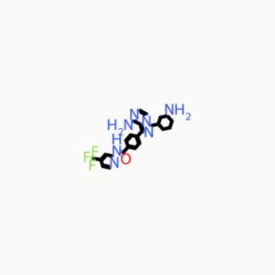 Nc1nccn2c(C3CCCC(N)C3)nc(-c3ccc(C(=O)Nc4cc(C(F)(F)F)ccn4)cc3)c12